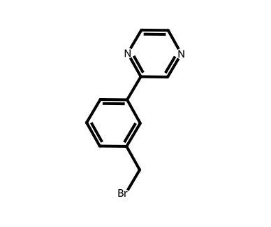 BrCc1cccc(-c2cnccn2)c1